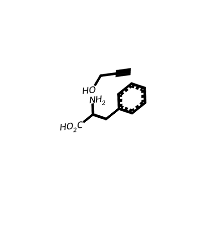 C#CCO.NC(Cc1ccccc1)C(=O)O